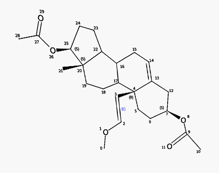 CO/C=C/[C@]12CC[C@H](OC(C)=O)CC1=CCC1C2CC[C@@]2(C)C1CC[C@@H]2OC(C)=O